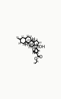 CCOC(=O)c1cc(C2(O)CC[C@H]3[C@@H]4CCC5CC(C)CC[C@]5(C)[C@@H]4CC[C@@]32C)on1